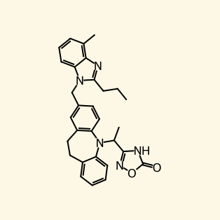 CCCc1nc2c(C)cccc2n1Cc1ccc2c(c1)CCc1ccccc1N2C(C)c1noc(=O)[nH]1